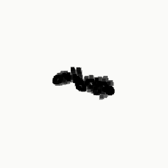 Cc1c2nc3ccc(C(=O)NCCN4CCOCC4)cc3oc-2c(C)c(=O)c1C